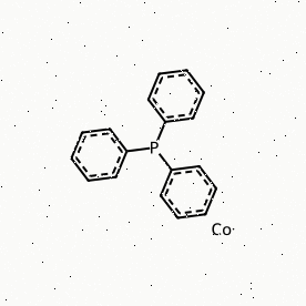 [Co].c1ccc(P(c2ccccc2)c2ccccc2)cc1